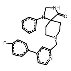 O=C1NCN(c2ccccc2)C12CCN(Cc1cc(-c3ccc(F)cc3)ccn1)CC2